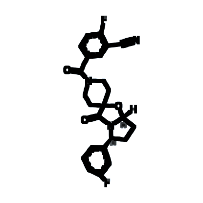 N#Cc1cc(C(=O)N2CCC3(CC2)O[C@@H]2CC[C@@H](c4cccc(F)c4)N2C3=O)ccc1F